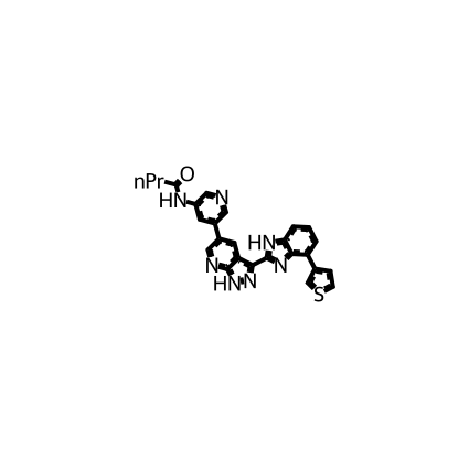 CCCC(=O)Nc1cncc(-c2cnc3[nH]nc(-c4nc5c(-c6ccsc6)cccc5[nH]4)c3c2)c1